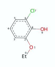 CCOc1cccc(Cl)c1O